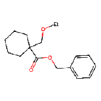 CCOCC1(C(=O)OCc2ccccc2)CCCCC1